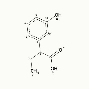 CCC(C(=O)O)c1cccc(O)c1